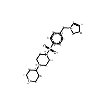 O=S(=O)(c1ccc(CN2C=CCC2)cc1)N1CCN(C2CCOCC2)CC1